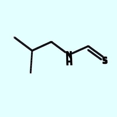 CC(C)CNC=S